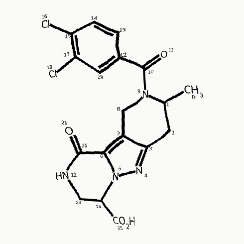 CC1Cc2nn3c(c2CN1C(=O)c1ccc(Cl)c(Cl)c1)C(=O)NCC3C(=O)O